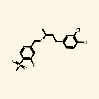 CC(CCc1ccc(Cl)c(Cl)c1)NCc1ccc(S(C)(=O)=O)c(F)c1